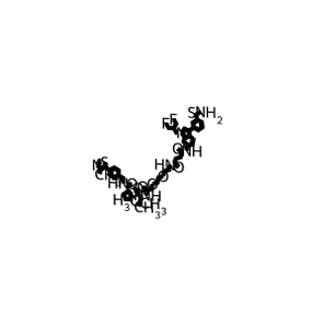 Cc1ncsc1-c1ccc(CNC(=O)[C@@H]2CCCN2C(=O)C(NC(=O)COCCOCCNC(=O)CCC(=O)Nc2ccc3c(-c4cccc(C(N)=S)c4)cn(CC(CF)CF)c3c2)C(C)(C)C)cc1